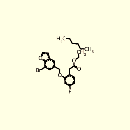 CCCCCC.CCOC(=O)Cc1ccc(F)cc1OCc1cc(Br)c2occc2c1